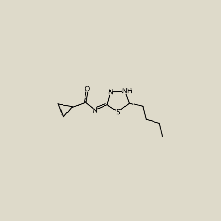 CCCCC1N[N]C(=NC(=O)C2CC2)S1